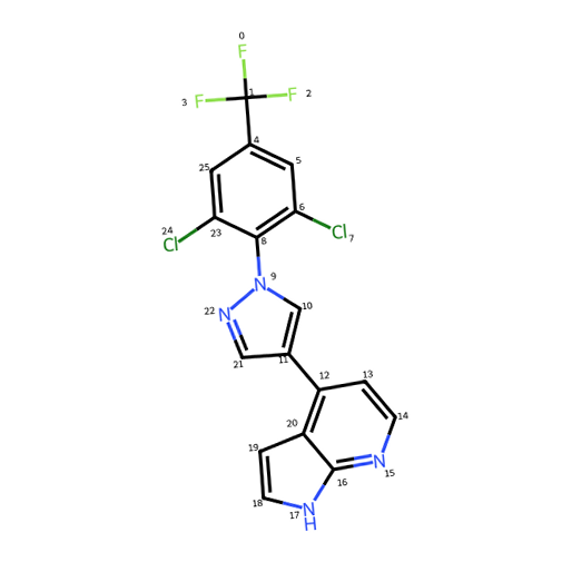 FC(F)(F)c1cc(Cl)c(-n2cc(-c3ccnc4[nH]ccc34)cn2)c(Cl)c1